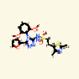 COc1cccc(OC)c1-n1c(NS(=O)(=O)CCc2sc(C)nc2C)nnc1-c1ccco1